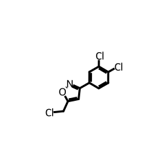 ClCc1cc(-c2ccc(Cl)c(Cl)c2)no1